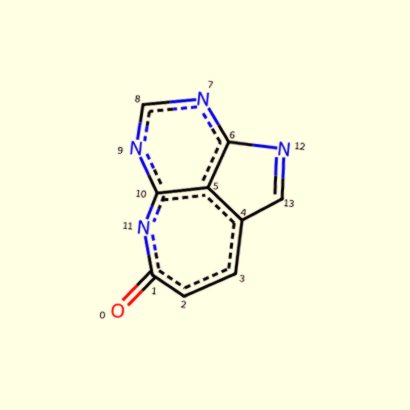 O=c1ccc2c3c(ncnc3n1)N=C2